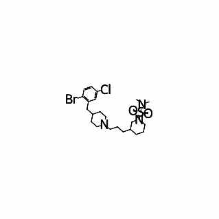 CN(C)S(=O)(=O)N1CCCC(CCCN2CCC(Cc3cc(Cl)ccc3Br)CC2)C1